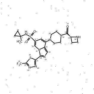 CC1(NS(=O)(=O)c2cc(N3CCN(C(=O)[C@@H]4CCN4)CC3)c3cnc(-c4nnc(C(F)(F)F)s4)n3c2)CC1